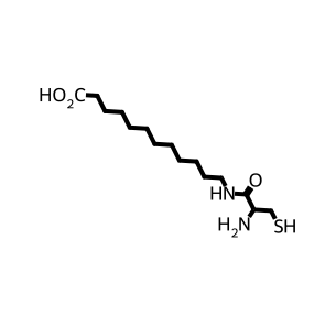 NC(CS)C(=O)NCCCCCCCCCCCC(=O)O